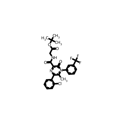 Cc1c(-c2ccccc2Cl)nc(C(=O)NCC(=O)OC(C)(C)C)c(=O)n1-c1cccc(C(F)(F)F)c1